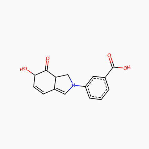 O=C(O)c1cccc(N2C=C3C=CC(O)C(=O)C3C2)c1